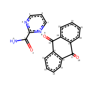 NC(=O)c1ncccn1.O=C1c2ccccc2C(=O)c2ccccc21